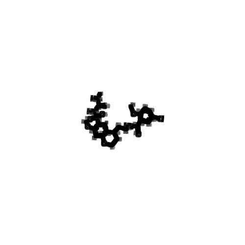 CNC(=S)NS(=O)(=O)c1cc2c(cc1OC)OCCC2CCNC(=O)c1cc(Cl)ccc1OC